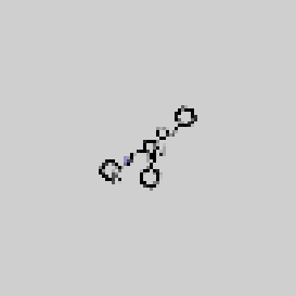 C(=C\c1cc(OCc2ccccc2)nn1-c1ccccc1)/c1ccccn1